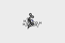 Cc1cc(F)ccc1CC(C(=O)N(C)CC(=O)O)N1CC/C=C\C[C@H](N(C)C(=O)OCC2c3ccccc3-c3ccccc32)C1=O